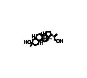 C=C(CO)[C@H]1CC[C@H]2[C@@H]3CC[C@@H]4C[C@@](C)(O)CC[C@@H]4[C@H]3CC[C@]12C